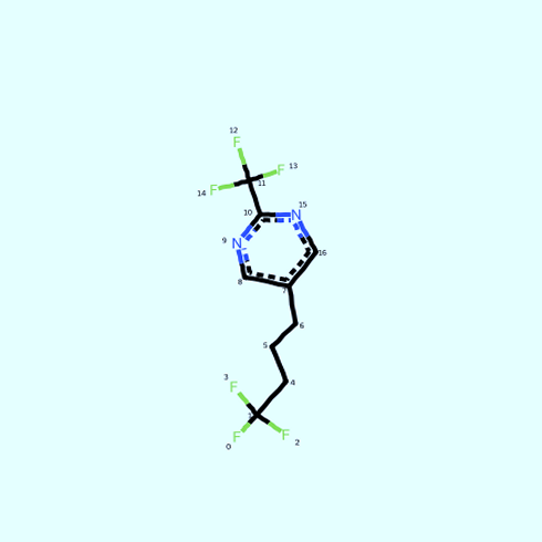 FC(F)(F)C[CH]Cc1cnc(C(F)(F)F)nc1